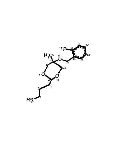 CCCC[C@H]1OC[C@](C)(OCc2ccccc2F)CO1